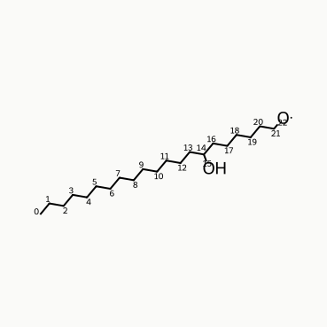 CCCCCCCCCCCCCCC(O)CCCCCC[O]